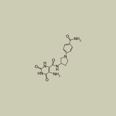 NC(=O)c1ccc(N2CCC(NC(=O)c3[nH]c(=O)[nH]c(=O)c3N)C2)cc1